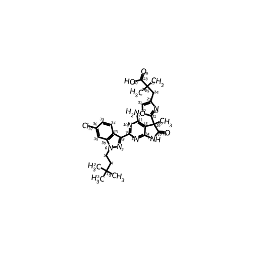 CC(C)(C)CCn1nc(-c2nc(N)c3c(n2)NC(=O)C3(C)c2nc(CC(C)(C)C(=O)O)co2)c2ccc(Cl)cc21